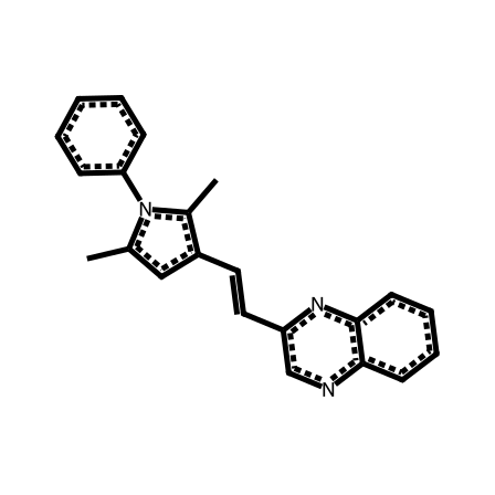 Cc1cc(C=Cc2cnc3ccccc3n2)c(C)n1-c1ccccc1